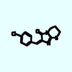 O=C1C(=Cc2ccc(Cl)cc2)N=C2SCCCN12